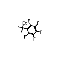 CCC(C)(C)c1c(F)c(F)c(F)c(F)c1F